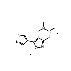 C[C@H]1Cc2noc(-c3cnsc3)c2CN1C